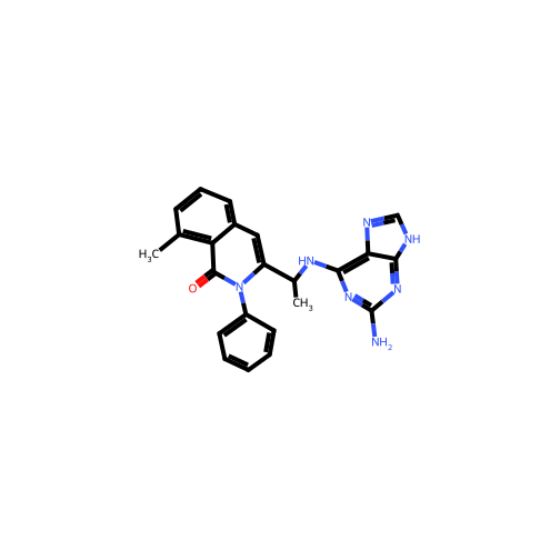 Cc1cccc2cc(C(C)Nc3nc(N)nc4[nH]cnc34)n(-c3ccccc3)c(=O)c12